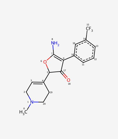 CN1CC=C(C2OC(N)=C(c3cccc(C(F)(F)F)c3)C2=O)CC1